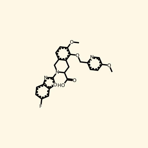 COc1ccc(COc2c(OC)ccc3c2CC(C(=O)O)N(c2nc4ccc(F)cc4o2)C3)nc1